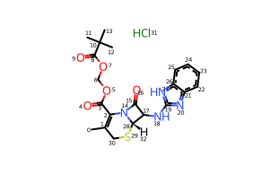 CC1=C(C(=O)OCOC(=O)C(C)(C)C)N2C(=O)C(Nc3nc4ccccc4[nH]3)[C@@H]2SC1.Cl